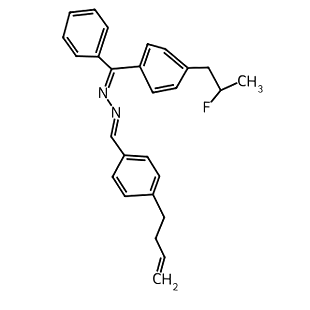 C=CCCc1ccc(C=NN=C(c2ccccc2)c2ccc(CC(C)F)cc2)cc1